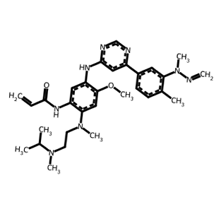 C=CC(=O)Nc1cc(Nc2cc(-c3ccc(C)c(N(C)N=C)c3)ncn2)c(OC)cc1N(C)CCN(C)C(C)C